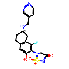 O=C1CN(c2c(O)cc3c(c2F)C[C@H](NCc2ccnnc2)CC3)S(=O)(=O)N1